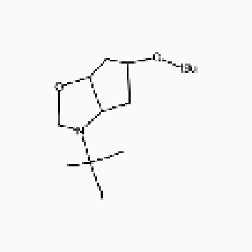 CC(C)(C)OC1CC2OCN(C(C)(C)I)C2C1